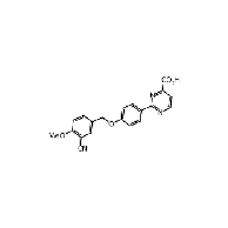 COc1ccc(COc2ccc(-c3nccc(C(=O)O)n3)cc2)cc1C#N